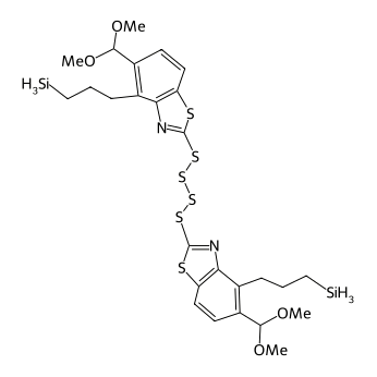 COC(OC)c1ccc2sc(SSSSc3nc4c(CCC[SiH3])c(C(OC)OC)ccc4s3)nc2c1CCC[SiH3]